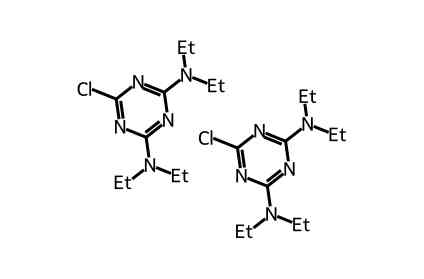 CCN(CC)c1nc(Cl)nc(N(CC)CC)n1.CCN(CC)c1nc(Cl)nc(N(CC)CC)n1